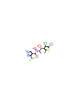 COC(c1c(C)sc(Cl)c1Cl)C(C)N(OC)C(=O)c1cn(C)nc1C(F)F